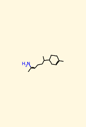 CC1=CCC(C(C)CC/C=C(/C)N)CC1